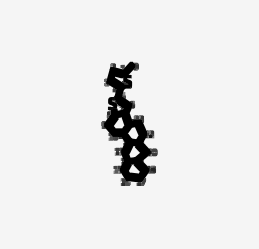 Cc1ccc(-c2cc3c(ccc4c5cc6ccccc6cc5ccc34)s2)s1